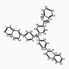 c1ccc2cc(-c3ccc(N(c4ccc(-c5ccc6ccccc6c5)cc4)c4ccc(-c5nc6ccccc6s5)cc4)cc3)ccc2c1